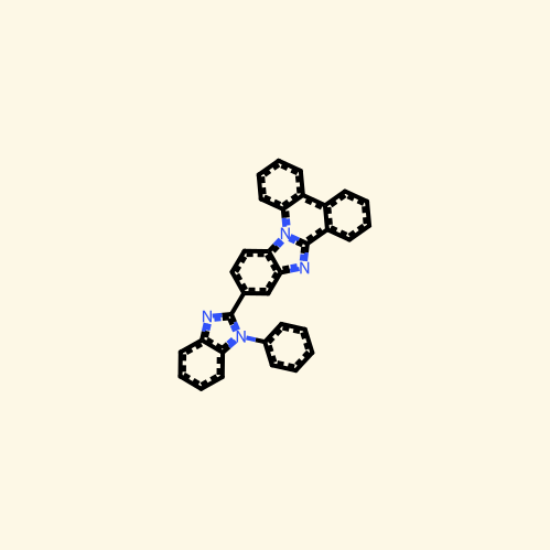 c1ccc(-n2c(-c3ccc4c(c3)nc3c5ccccc5c5ccccc5n43)nc3ccccc32)cc1